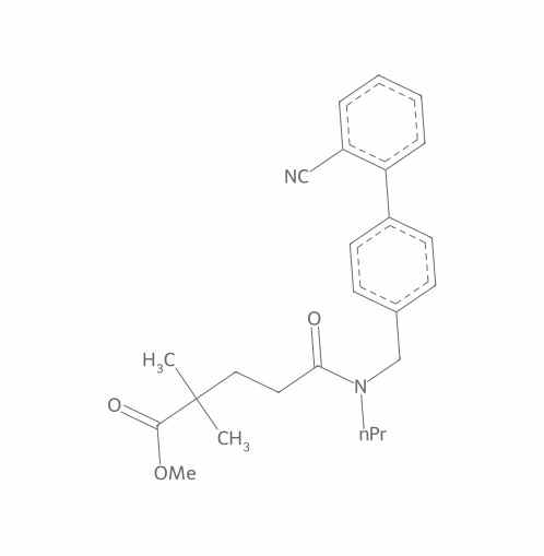 CCCN(Cc1ccc(-c2ccccc2C#N)cc1)C(=O)CCC(C)(C)C(=O)OC